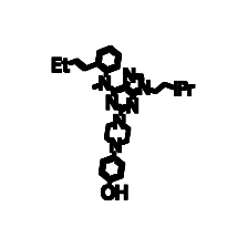 CC/C=C/c1ccccc1N(C)c1nc(N2CCN(c3ccc(O)cc3)CC2)nc2c1ncn2CCC(C)C